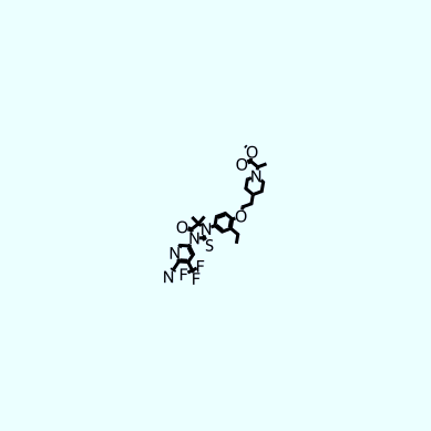 CCc1cc(N2C(=S)N(c3cnc(C#N)c(C(F)(F)F)c3)C(=O)C2(C)C)ccc1OCCC1CCN(C(C)C(=O)OC)CC1